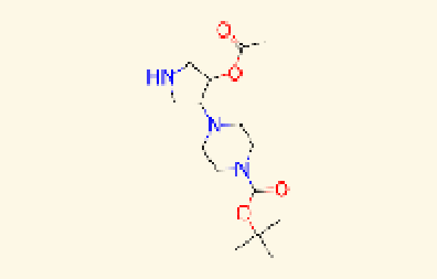 CC(=O)OC1CNCC1N1CCN(C(=O)OC(C)(C)C)CC1